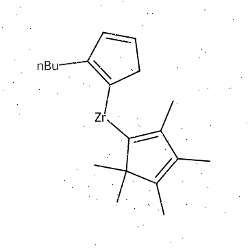 CCCCC1=[C]([Zr][C]2=C(C)C(C)=C(C)C2(C)C)CC=C1